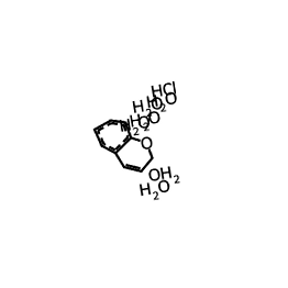 C1=Cc2ccccc2OC1.Cl.O.O.O.O.O.O